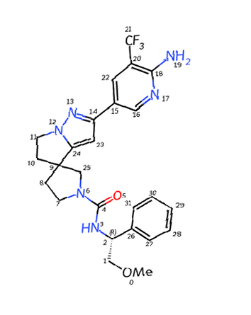 COC[C@H](NC(=O)N1CCC2(CCn3nc(-c4cnc(N)c(C(F)(F)F)c4)cc32)C1)c1ccccc1